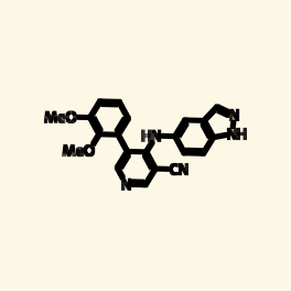 COc1cccc(-c2cncc(C#N)c2Nc2ccc3[nH]ncc3c2)c1OC